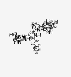 CC(C)C[C@H](NC(=O)[C@H](CCCNC(=N)N[N+](=O)O)NC(=O)CCc1cccs1)B1O[C@@H]2C[C@@H]3C[C@@H](C3(C)C)[C@]2(C)O1